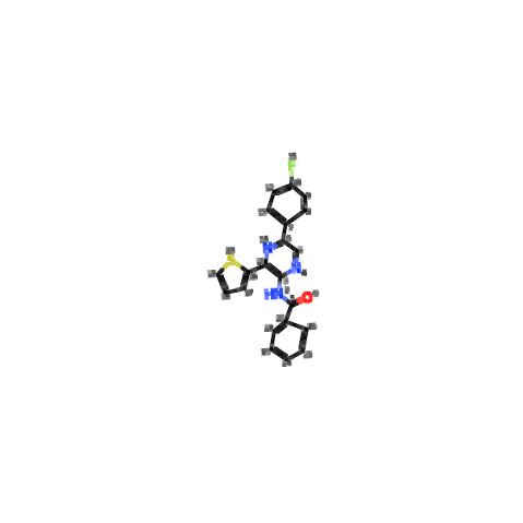 O=C(Nc1ncc(-c2ccc(F)cc2)nc1-c1cccs1)c1ccccc1